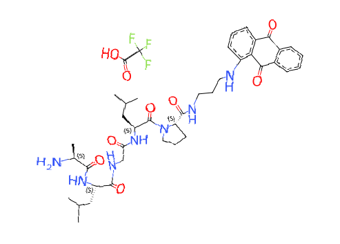 CC(C)C[C@H](NC(=O)[C@H](C)N)C(=O)NCC(=O)N[C@@H](CC(C)C)C(=O)N1CCC[C@H]1C(=O)NCCCNc1cccc2c1C(=O)c1ccccc1C2=O.O=C(O)C(F)(F)F